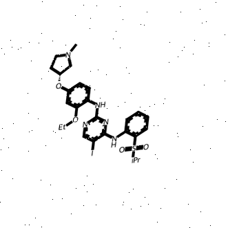 CCOc1cc(O[C@@H]2CCN(C)C2)ccc1Nc1ncc(I)c(Nc2ccccc2S(=O)(=O)C(C)C)n1